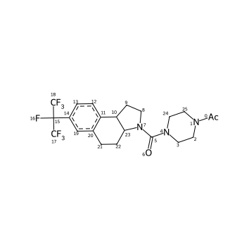 CC(=O)N1CCN(C(=O)N2CCC3c4ccc(C(F)(C(F)(F)F)C(F)(F)F)cc4CCC32)CC1